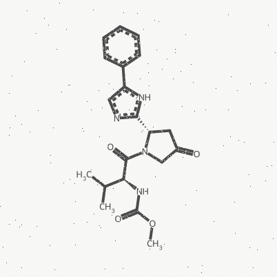 COC(=O)N[C@H](C(=O)N1CC(=O)C[C@H]1c1ncc(-c2ccccc2)[nH]1)C(C)C